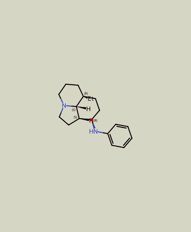 CC[C@]12CCCN3CC[C@H]([C@H]31)[C@H](Nc1ccccc1)CC2